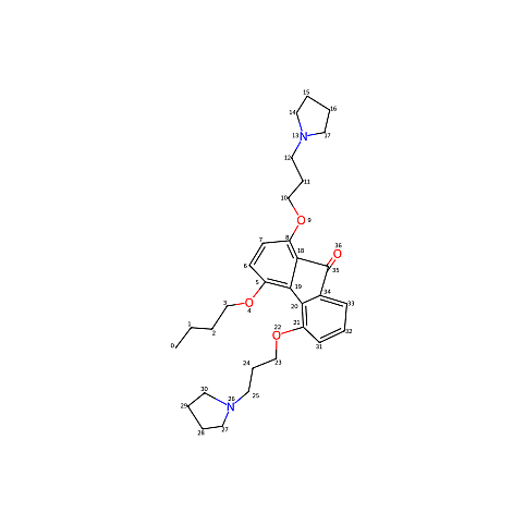 CCCCOc1ccc(OCCCN2CCCC2)c2c1-c1c(OCCCN3CCCC3)cccc1C2=O